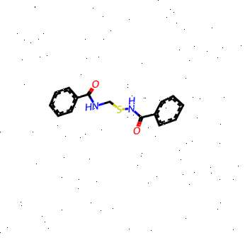 O=C(NCSNC(=O)c1ccccc1)c1ccccc1